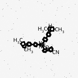 C[C@@H]1C[C@@H]2C[C@H](C)CC(c3ccc(-c4ccc(-c5nc(-c6ccc(-c7ccc(C89CC(C[C@H](C)C8)C[C@H](C)C9)cc7)cc6)nc(-c6cccc7c6oc6ccc(C#N)cc67)n5)cc4)cc3)(C1)C2